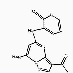 CNc1cc(Nc2ccc[nH]c2=O)nc2c(C(N)=O)cnn12